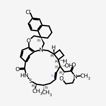 C[C@H]1C/C=C/[C@](O)([C@H]2OCCN(C)C2=O)[C@@H]2CC[C@H]2CN2C[C@@]3(CCCc4cc(Cl)ccc43)COc3ccc(cc32)C(=O)NS[C@@H]1C